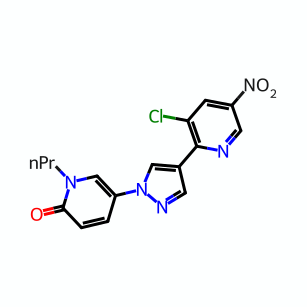 CCCn1cc(-n2cc(-c3ncc([N+](=O)[O-])cc3Cl)cn2)ccc1=O